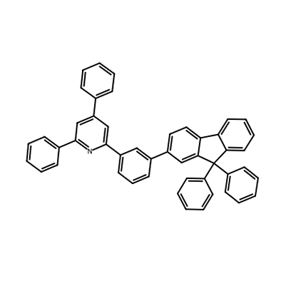 c1ccc(-c2cc(-c3ccccc3)nc(-c3cccc(-c4ccc5c(c4)C(c4ccccc4)(c4ccccc4)c4ccccc4-5)c3)c2)cc1